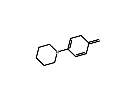 C=C1C=CC(N2CCCCC2)=CC1